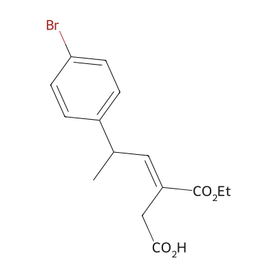 CCOC(=O)C(=CC(C)c1ccc(Br)cc1)CC(=O)O